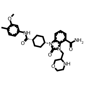 COc1cc(NC(=O)[C@H]2CC[C@@H](n3c(=O)n(CC4COCCN4)c4c(C(N)=O)cccc43)CC2)ccc1C